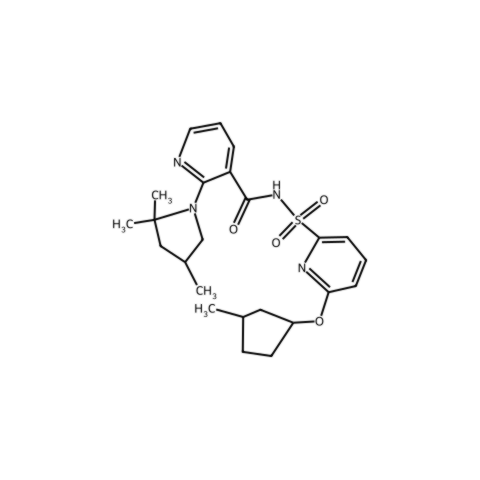 CC1CCC(Oc2cccc(S(=O)(=O)NC(=O)c3cccnc3N3CC(C)CC3(C)C)n2)C1